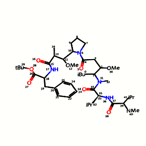 CCC(C)C(C(CC(=O)N1CCCC1C(OC)C(C)C(=O)NC(Cc1ccccc1)C(=O)OC(C)(C)C)OC)N(C)C(=O)[C@@H](NC(=O)C(NC)C(C)C)C(C)C